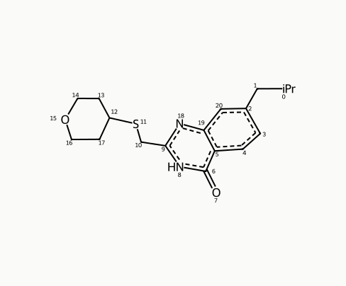 CC(C)Cc1ccc2c(=O)[nH]c(CSC3CCOCC3)nc2c1